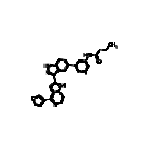 CCCC(=O)Nc1cncc(-c2ccc3[nH]nc(-c4cc5c(-c6ccoc6)nccc5[nH]4)c3c2)c1